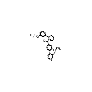 COc1cccc(C2CCCN2C(=O)c2ccc(-c3ccncc3F)c(OC)c2)c1